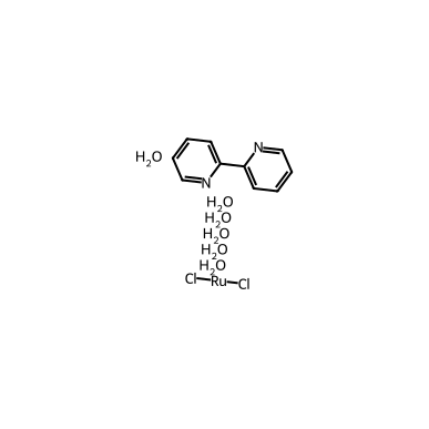 O.O.O.O.O.O.[Cl][Ru][Cl].c1ccc(-c2ccccn2)nc1